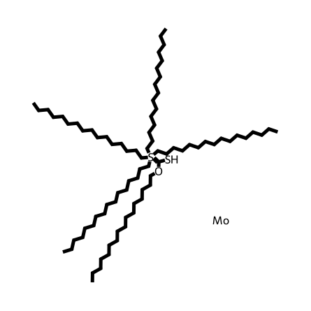 CCCCCCCCCCCCCCCCOC(S)=S(CCCCCCCCCCCCCCCC)(CCCCCCCCCCCCCCCC)(CCCCCCCCCCCCCCCC)CCCCCCCCCCCCCCCC.[Mo]